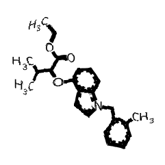 CCOC(=O)C(Oc1cccc2c1ccn2Cc1ccccc1C)C(C)C